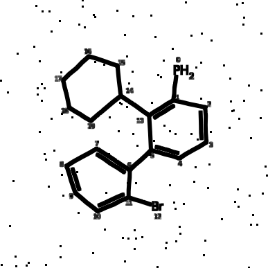 Pc1cccc(-c2ccccc2Br)c1C1CCCCC1